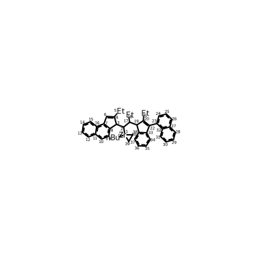 CCC[CH2][Zr]1([CH](C2C(CC)=Cc3c2ccc2ccccc32)C(CC)C2C(CC)=C(c3cccc4ccccc34)c3ccccc32)[CH2][CH2]1